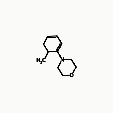 CC1CC=CC=C1N1CCOCC1